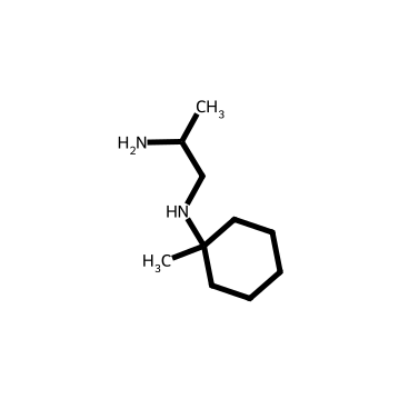 CC(N)CNC1(C)CCCCC1